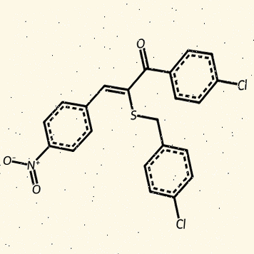 O=C(C(=Cc1ccc([N+](=O)[O-])cc1)SCc1ccc(Cl)cc1)c1ccc(Cl)cc1